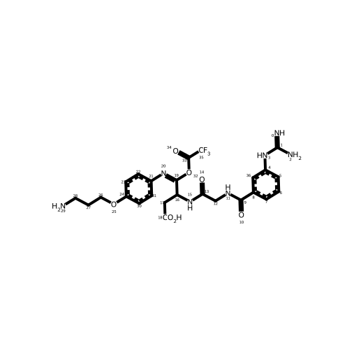 N=C(N)Nc1cccc(C(=O)NCC(=O)NC(CC(=O)O)C(=Nc2ccc(OCCCN)cc2)OC(=O)C(F)(F)F)c1